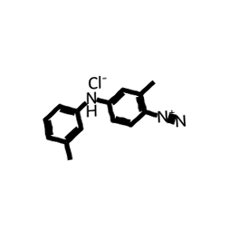 Cc1cccc(Nc2ccc([N+]#N)c(C)c2)c1.[Cl-]